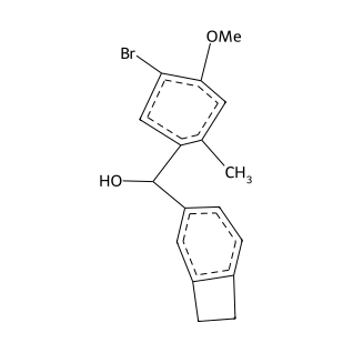 COc1cc(C)c(C(O)c2ccc3c(c2)CC3)cc1Br